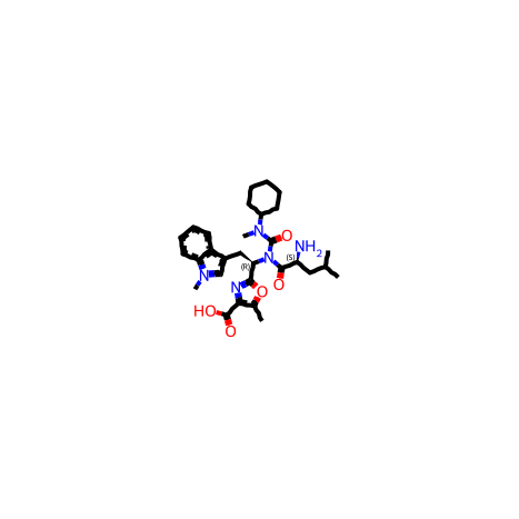 Cc1oc([C@@H](Cc2cn(C)c3ccccc23)N(C(=O)[C@@H](N)CC(C)C)C(=O)N(C)C2CCCCC2)nc1C(=O)O